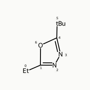 CCc1nnc(C(C)(C)C)o1